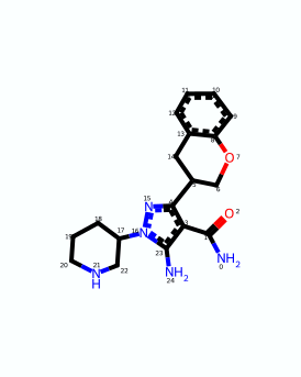 NC(=O)c1c(C2COc3ccccc3C2)nn(C2CCCNC2)c1N